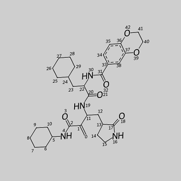 C=C(C(=O)NC1CCCCC1)C(CC1CCNC1=O)NC(=O)C(CC1CCCCC1)NC(=O)c1ccc2c(c1)OCCO2